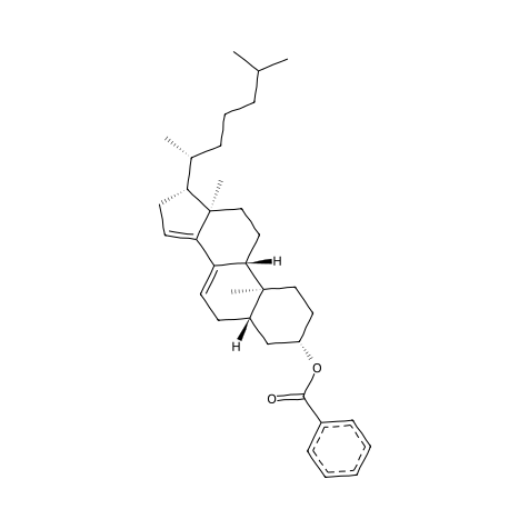 CC(C)CCC[C@@H](C)[C@H]1CC=C2C3=CC[C@H]4C[C@@H](OC(=O)c5ccccc5)CC[C@]4(C)[C@H]3CC[C@@]21C